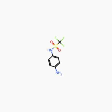 Nc1ccc(NS(=O)(=O)C(F)(F)F)cc1